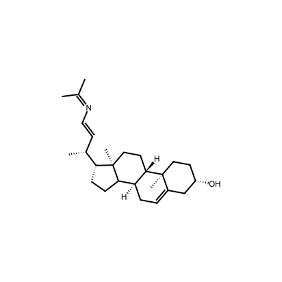 CC(C)=N/C=C/[C@@H](C)[C@H]1CCC2[C@@H]3CC=C4C[C@@H](O)CC[C@]4(C)[C@H]3CC[C@@]21C